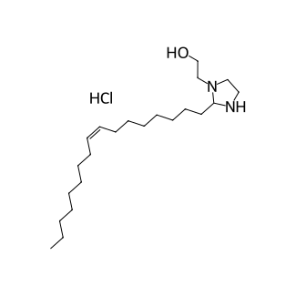 CCCCCCCC/C=C\CCCCCCCC1NCCN1CCO.Cl